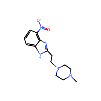 CN1CCN(CCc2nc3c([N+](=O)[O-])cccc3[nH]2)CC1